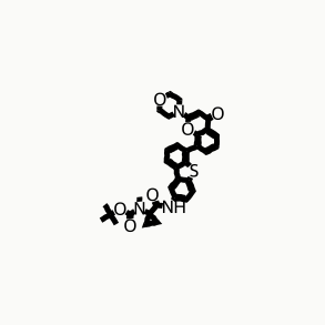 CN(C(=O)OC(C)(C)C)C1(C(=O)Nc2ccc3sc4c(-c5cccc6c(=O)cc(N7CCOCC7)oc56)cccc4c3c2)CC1